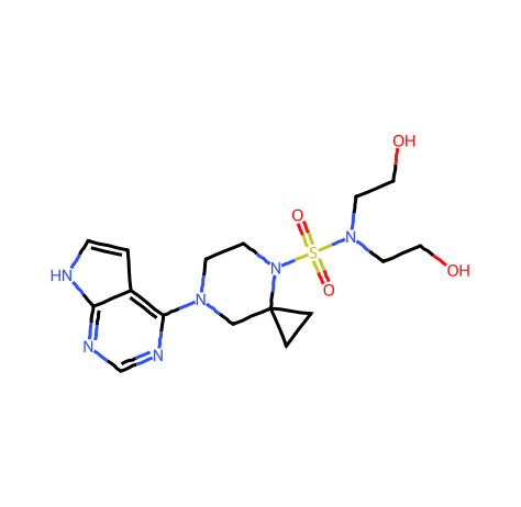 O=S(=O)(N(CCO)CCO)N1CCN(c2ncnc3[nH]ccc23)CC12CC2